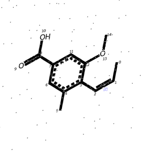 C/C=C\c1c(C)cc(C(=O)O)cc1OC